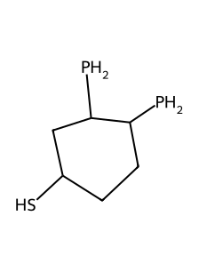 PC1CCC(S)CC1P